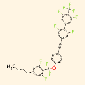 CCCCc1cc(F)c(C(F)(F)Oc2ccc(C#Cc3cc(F)c(-c4cc(F)c(C(F)(F)F)c(F)c4)c(F)c3)cc2)c(F)c1